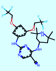 CC1(C)CC(Nc2nc(Nc3cc(OCC(F)(F)F)cc(OCC(F)(F)F)c3)ncc2C#N)CC(C)(C)N1